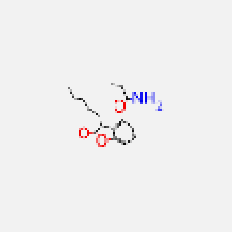 CCC(N)=O.CCCCCC1C(=O)Oc2ccccc21